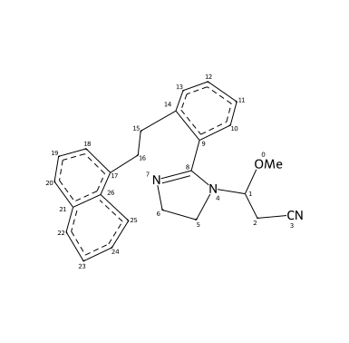 COC(CC#N)N1CCN=C1c1ccccc1CCc1cccc2ccccc12